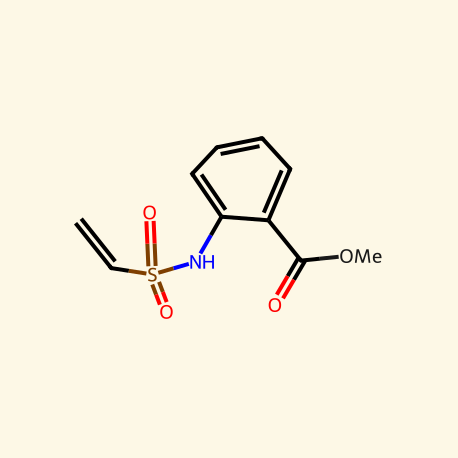 C=CS(=O)(=O)Nc1ccccc1C(=O)OC